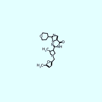 Cc1ccc(CN2CC(C)C(c3nn4c(C5CCOCC5)ncc4c(=O)[nH]3)C2)o1